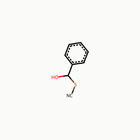 N#CSC(O)c1ccccc1